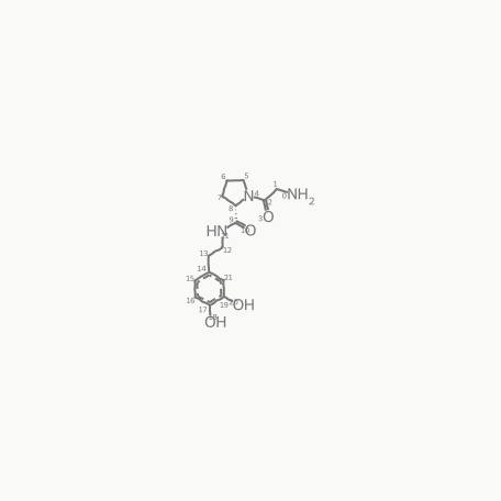 NCC(=O)N1CCC[C@H]1C(=O)NCCc1ccc(O)c(O)c1